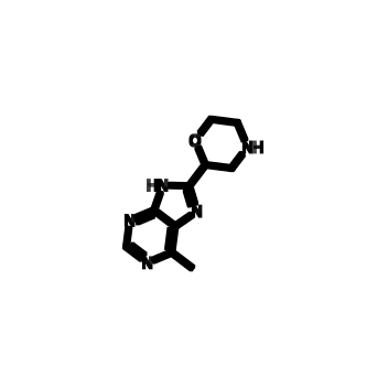 Cc1ncnc2[nH]c(C3CNCCO3)nc12